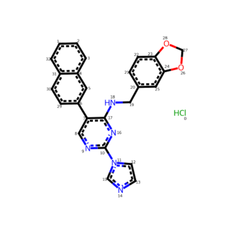 Cl.c1ccc2cc(-c3cnc(-n4ccnc4)nc3NCc3ccc4c(c3)OCO4)ccc2c1